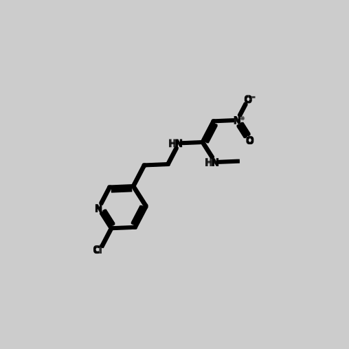 CNC(=C[N+](=O)[O-])NCCc1ccc(Cl)nc1